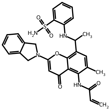 C=CC(=O)Nc1c(C)cc(C(C)Nc2ccccc2S(N)(=O)=O)c2oc(N3Cc4ccccc4C3)cc(=O)c12